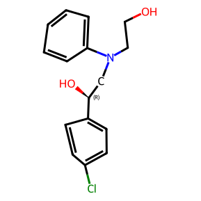 OCCN(C[C@H](O)c1ccc(Cl)cc1)c1ccccc1